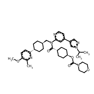 COc1ccc([C@H]2CC[C@H](CN(c3cc(-c4cnn(C(C)C)c4)ccn3)C(=O)[C@H]3CC[C@H](OC(=O)N4CCOCC4)CC3)CC2)nc1C